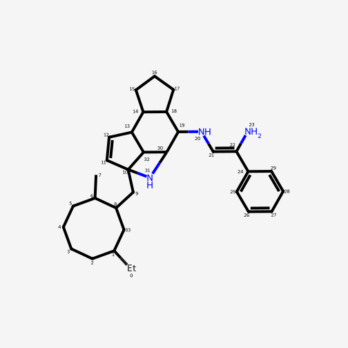 CCC1CCCCC(C)C(CC23C=CC4C5CCCC5C(N/C=C(\N)c5ccccc5)C(N2)C43)C1